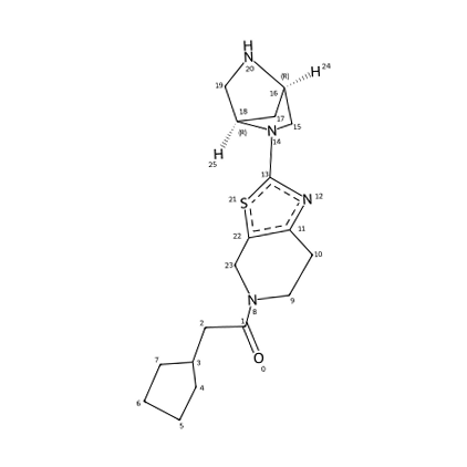 O=C(CC1CCCC1)N1CCc2nc(N3C[C@H]4C[C@@H]3CN4)sc2C1